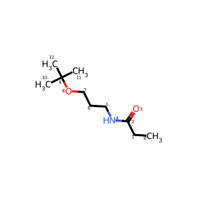 CCC(=O)NCCCOC(C)(C)C